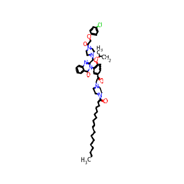 CCCCCCCC/C=C/CCCCCCCC(=O)N1CCN(CC(=O)c2ccc(OC(C)C)c(-n3c(CN4CCN(C(=O)COc5ccc(Cl)cc5)CC4)nc4ccccc4c3=O)c2)CC1